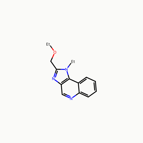 CCOCc1nc2cnc3ccccc3c2n1CC